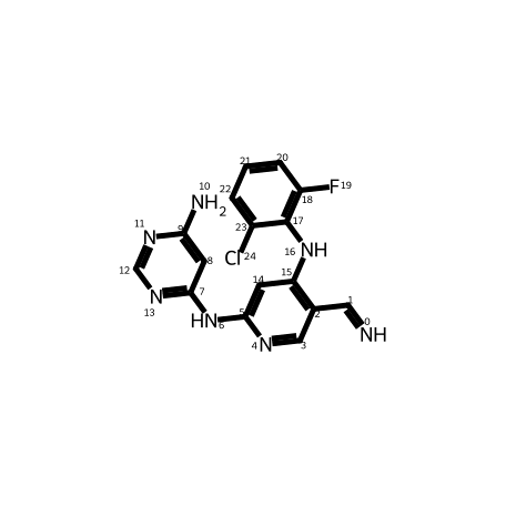 N=Cc1cnc(Nc2cc(N)ncn2)cc1Nc1c(F)cccc1Cl